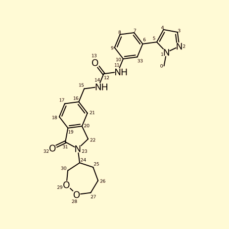 Cn1nccc1-c1cccc(NC(=O)NCc2ccc3c(c2)CN(C2CCCOOC2)C3=O)c1